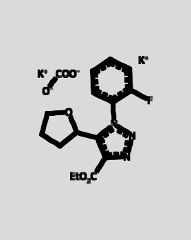 CCOC(=O)c1nnn(-c2ccccc2F)c1C1CCCO1.O=C([O-])[O-].[K+].[K+]